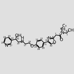 CCN(CC)C(=O)Cc1nc(-c2ccc(OCCNC[C@H](O)c3cccnc3)cc2)co1